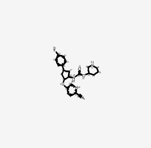 N#Cc1ccc(OC2CC(c3ccc(F)cc3)CC2NC(=O)OC2CCCNC2)cn1